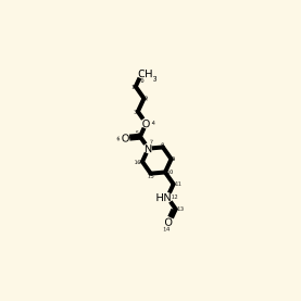 CCCCOC(=O)N1CCC(CNC=O)CC1